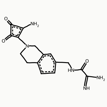 N=C(N)C(=O)NCc1ccc2c(c1)CN(c1c(N)c(=O)c1=O)CC2